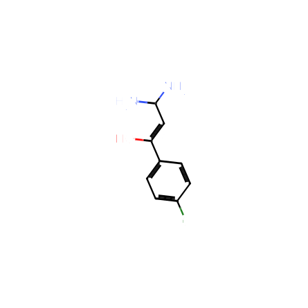 NC(N)/C=C(\O)c1ccc(Cl)cc1